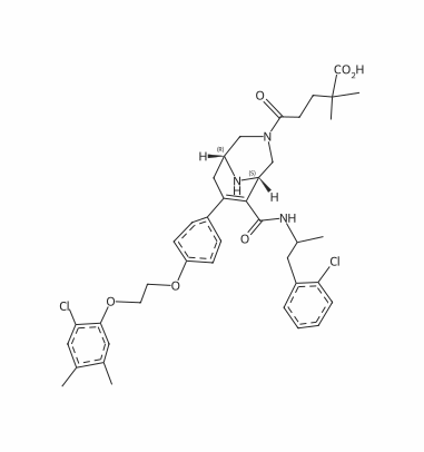 Cc1cc(Cl)c(OCCOc2ccc(C3=C(C(=O)NC(C)Cc4ccccc4Cl)[C@H]4CN(C(=O)CCC(C)(C)C(=O)O)C[C@@H](C3)N4)cc2)cc1C